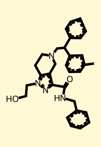 Cc1cccc(C(CN2CCc3c(c(C(=O)NCc4ccccc4)nn3CCO)C2)c2ccccc2)c1